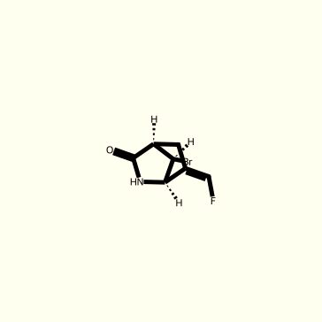 O=C1N[C@@H]2C(=CF)C[C@H]1[C@H]2Br